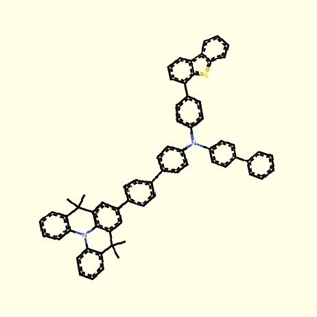 CC1(C)c2ccccc2N2c3ccccc3C(C)(C)c3cc(-c4ccc(-c5ccc(N(c6ccc(-c7ccccc7)cc6)c6ccc(-c7cccc8c7sc7ccccc78)cc6)cc5)cc4)cc1c32